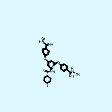 C[C@H]1CC[C@H](C(=O)Nc2cc(Oc3ccc(C(=N)NO)cc3)cc(Oc3ccc(C(=N)NO)cc3)c2)CC1